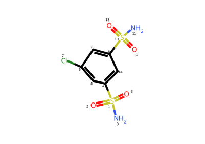 NS(=O)(=O)c1cc(Cl)cc(S(N)(=O)=O)c1